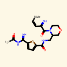 CN/C=C\C(=N)C(=O)N1CCOCC1CNC(=O)c1ccc(C(=N)NC(=O)C(F)(F)F)s1